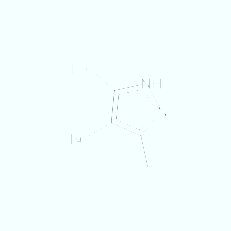 Cc1n[nH]c(C(F)(F)F)c1C(C)(C)C